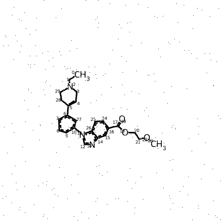 CCN1CC=C(c2cccc(-n3cnc4cc(C(=O)OCCOC)ccc43)c2)CC1